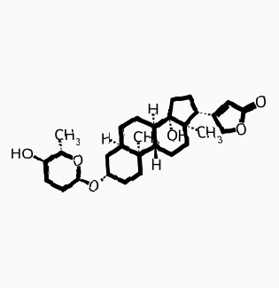 C[C@@H]1O[C@@H](O[C@H]2CC[C@@]3(C)[C@H](CC[C@@H]4[C@@H]3CC[C@]3(C)[C@@H](C5=CC(=O)OC5)CC[C@]43O)C2)CC[C@H]1O